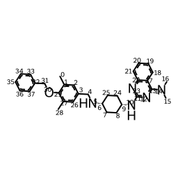 Cc1cc(CN[C@H]2CC[C@@H](Nc3nc(N(C)C)c4ccccc4n3)CC2)cc(C)c1OCc1ccccc1